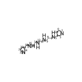 c1cncc(CNCCCNCCNCCCNCc2cccnc2)c1